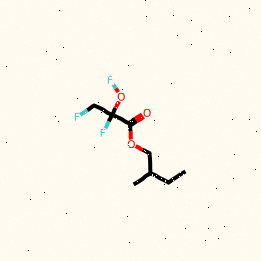 CCC(C)COC(=O)C(F)(CF)OF